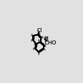 Clc1ccc2ccccc2c1.O=CCl